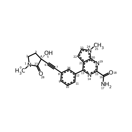 CN1CC[C@@](O)(C#Cc2cccc(-c3nc(C(N)=O)nc4c3ccn4C)c2)C1=O